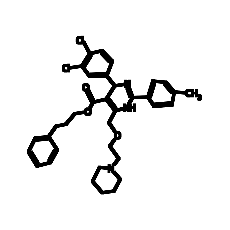 Cc1ccc(C2=NC(c3ccc(Cl)c(Cl)c3)C(C(=O)OCCCc3ccccc3)=C(COCCN3CCCCC3)N2)cc1